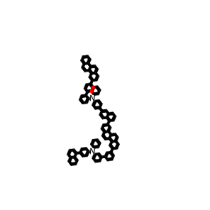 c1ccc(N(c2ccc(-c3cccc4ccccc34)cc2)c2cccc(-c3cccc(-c4ccc5ccc6c7cc(-c8cccc9cc(-c%10ccc(N(c%11ccccc%11)c%11ccccc%11-c%11ccc(-c%12ccc%13ccc%14c%15ccccc%15ccc%14c%13c%12)cc%11)cc%10)ccc89)ccc7ccc6c5c4)c3)c2)cc1